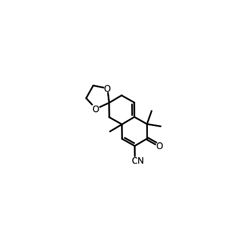 CC12C=C(C#N)C(=O)C(C)(C)C1=CCC1(C2)OCCO1